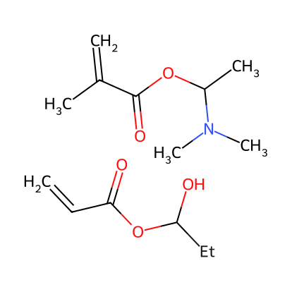 C=C(C)C(=O)OC(C)N(C)C.C=CC(=O)OC(O)CC